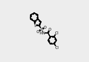 O=C(NS(=O)(=O)c1cc2ccccc2s1)c1ccc(Cl)cc1Cl